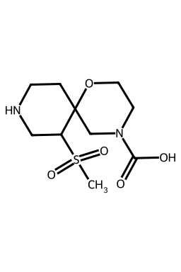 CS(=O)(=O)C1CNCCC12CN(C(=O)O)CCO2